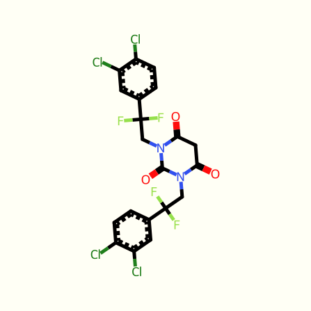 O=C1CC(=O)N(CC(F)(F)c2ccc(Cl)c(Cl)c2)C(=O)N1CC(F)(F)c1ccc(Cl)c(Cl)c1